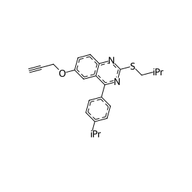 C#CCOc1ccc2nc(SCC(C)C)nc(-c3ccc(C(C)C)cc3)c2c1